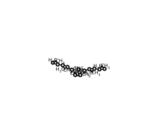 Cc1cc(-c2ccc3c(c2)C(C)(C)c2cc(-c4ccc5c(c4)C(C)(C)c4ccccc4-5)ccc2-3)cc(C)c1B1c2cccc3c2-n2c4c1cccc4c1cccc(c12)B3c1c(C)cc(-c2ccc3c(c2)C(C)(C)c2cc(-c4ccc5c(c4)C(C)(C)c4ccccc4-5)ccc2-3)cc1C